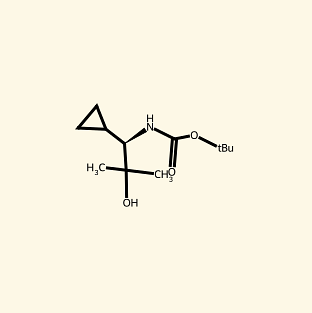 CC(C)(C)OC(=O)N[C@H](C1CC1)C(C)(C)O